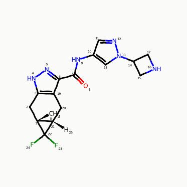 C[C@@]12Cc3[nH]nc(C(=O)Nc4cnn(C5CNC5)c4)c3C[C@@H]1C2(F)F